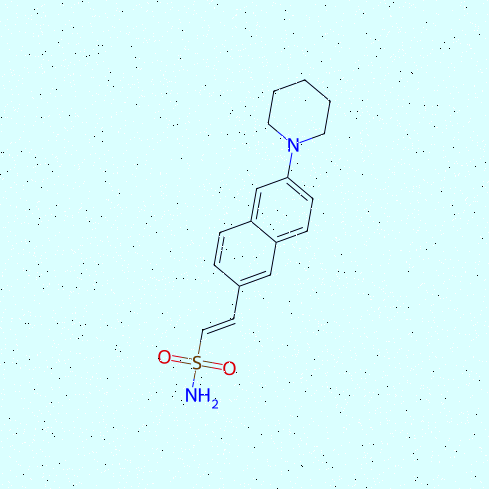 NS(=O)(=O)C=Cc1ccc2cc(N3CCCCC3)ccc2c1